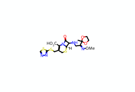 CO/N=C(/CNC1C(=O)N2C(C(=O)O)=C(CSc3nncs3)CS[C@H]12)C1(C)OCCO1